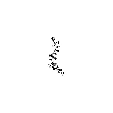 CCOc1cccc(-c2nnc(NC(=O)Cc3ccc4nc(NC(=O)O)sc4c3)s2)c1